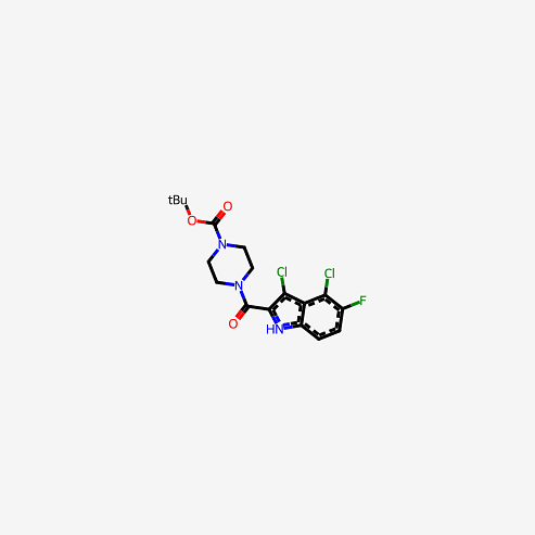 CC(C)(C)OC(=O)N1CCN(C(=O)c2[nH]c3ccc(F)c(Cl)c3c2Cl)CC1